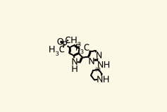 CP(C)(=O)c1ccc2c(-c3nc(N[C@H]4CCCNC4)ncc3C(F)(F)F)c[nH]c2c1